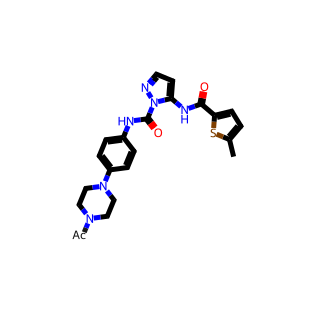 CC(=O)N1CCN(c2ccc(NC(=O)n3nccc3NC(=O)c3ccc(C)s3)cc2)CC1